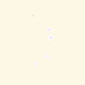 CC(=O)Nc1ccc(NC(=S)Nc2ccc(NC(=O)CN3CCCCC3)c(Cl)c2)cc1